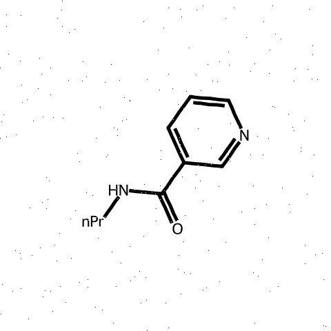 CCCNC(=O)c1cccnc1